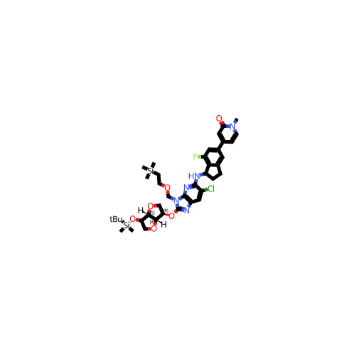 Cn1ccc(-c2cc(F)c3c(c2)CCC3Nc2nc3c(cc2Cl)nc(O[C@@H]2CO[C@@H]4C(O[Si](C)(C)C(C)(C)C)CO[C@@H]42)n3COCC[Si](C)(C)C)cc1=O